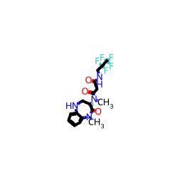 CN1C(=O)[C@@H](N(C)C(=O)CC(=O)NCC(F)(F)C(F)(F)F)CNc2ccccc21